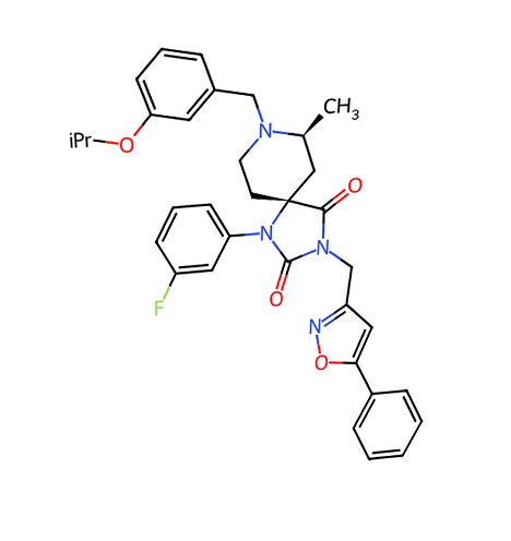 CC(C)Oc1cccc(CN2CC[C@@]3(C[C@@H]2C)C(=O)N(Cc2cc(-c4ccccc4)on2)C(=O)N3c2cccc(F)c2)c1